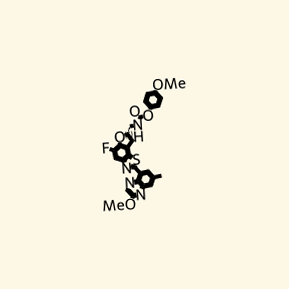 COc1ccc(OC(=O)NC[C@@H]2Cc3c(c(F)cc4nc(-c5cc(C)cc6nc(OC)cnc56)sc34)O2)cc1